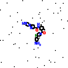 Cc1cc(C)c(C(=O)N2CCC(F)(c3ccc(N)cc3)CC2)cc1NC(=O)c1ccc(N2CCNCC2)nc1